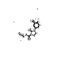 [N-]=[N+]=NCC(=O)N1CCN(c2ccc(F)c(Cl)c2)C1=O